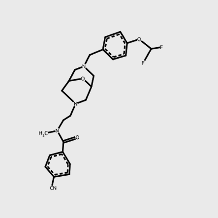 CN(CCN1CC2CN(Cc3ccc(OC(F)F)cc3)CC(C1)O2)C(=O)c1ccc(C#N)cc1